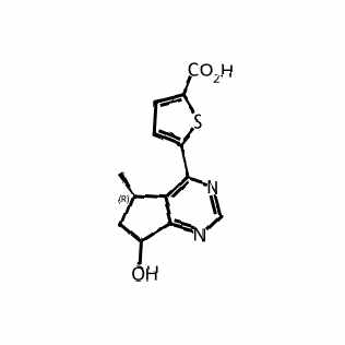 C[C@@H]1CC(O)c2ncnc(-c3ccc(C(=O)O)s3)c21